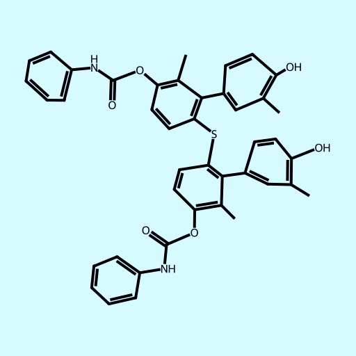 Cc1cc(-c2c(Sc3ccc(OC(=O)Nc4ccccc4)c(C)c3-c3ccc(O)c(C)c3)ccc(OC(=O)Nc3ccccc3)c2C)ccc1O